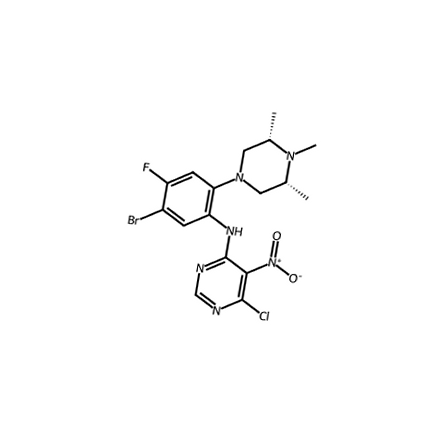 C[C@@H]1CN(c2cc(F)c(Br)cc2Nc2ncnc(Cl)c2[N+](=O)[O-])C[C@H](C)N1C